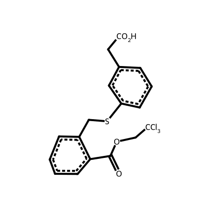 O=C(O)Cc1cccc(SCc2ccccc2C(=O)OCC(Cl)(Cl)Cl)c1